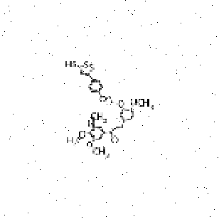 COc1ccc(/C=C/C(=O)c2cc(OC)c(OC)c(OC)c2)cc1OCCOc1ccc(C2=CC(S)SS2)cc1